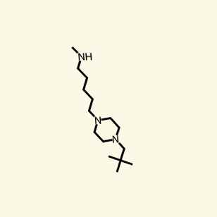 CNCCCCCN1CCN(CC(C)(C)C)CC1